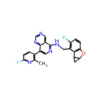 Cc1nc(F)ccc1-c1cnc(NCc2c(F)ccc3c2C2CC2O3)c2cncnc12